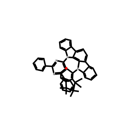 CC1(C)c2cccc(-n3c4ccccc4c4ccc5c6ccccc6n(-c6nc(-c7ccccc7)nc(-c7ccccc7)n6)c5c43)c2C(C)(C)C1(C)C